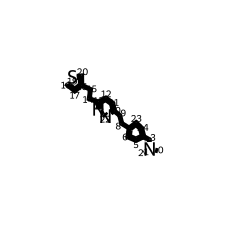 CN(C)Cc1ccc(CCc2ccc(CCc3ccsc3)nn2)cc1